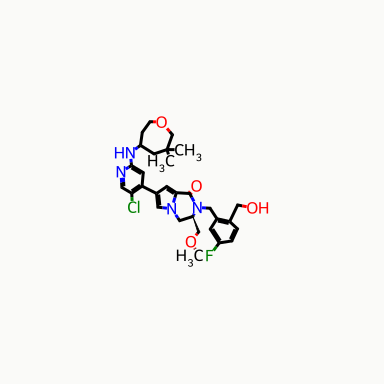 COC[C@H]1Cn2cc(-c3cc(NC4CCOCC(C)(C)C4)ncc3Cl)cc2C(=O)N1Cc1cc(F)ccc1CO